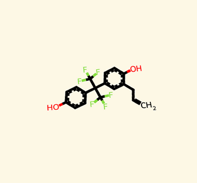 C=CCc1cc(C(c2ccc(O)cc2)(C(F)(F)F)C(F)(F)F)ccc1O